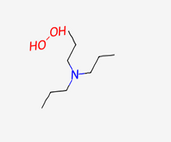 CCCN(CCC)CCC.OO